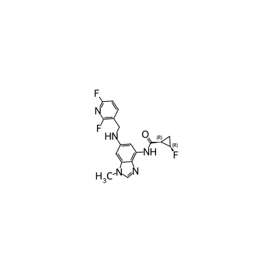 Cn1cnc2c(NC(=O)[C@H]3C[C@H]3F)cc(NCc3ccc(F)nc3F)cc21